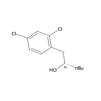 CCCC[C@H](O)[CH]c1ccc(Cl)cc1Cl